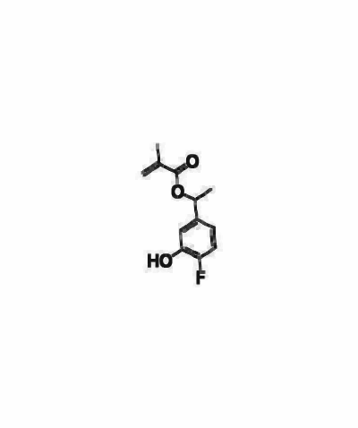 C=C(C)C(=O)OC(C)c1ccc(F)c(O)c1